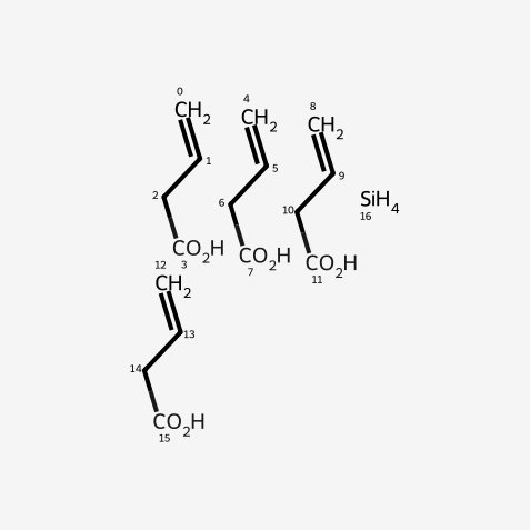 C=CCC(=O)O.C=CCC(=O)O.C=CCC(=O)O.C=CCC(=O)O.[SiH4]